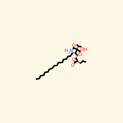 CCCCCCCCCCCCCCCCC[C@@H](C[C@H]1OC(=O)[C@@H]1CCC)[C@](C(N)=O)(C(=O)O)C(C)C